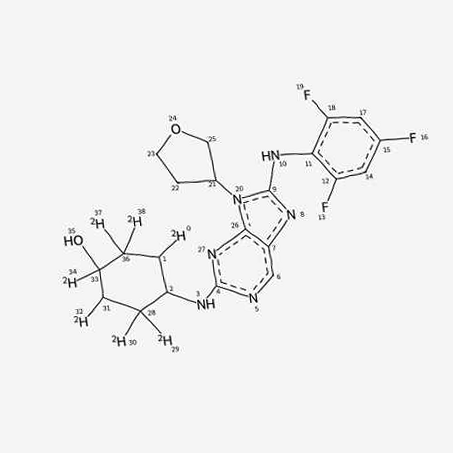 [2H]C1C(Nc2ncc3nc(Nc4c(F)cc(F)cc4F)n(C4CCOC4)c3n2)C([2H])([2H])C([2H])C([2H])(O)C1([2H])[2H]